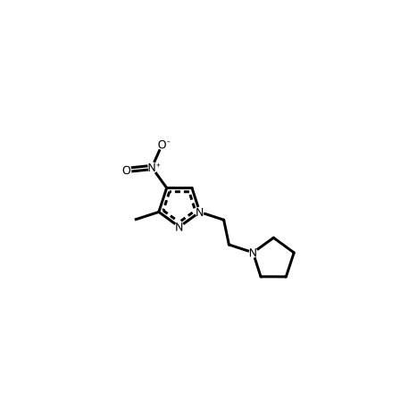 Cc1nn(CCN2CCCC2)cc1[N+](=O)[O-]